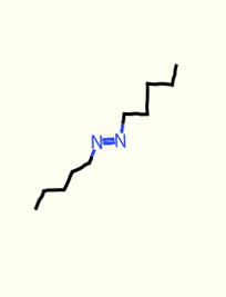 CCCCCN=NCCCCC